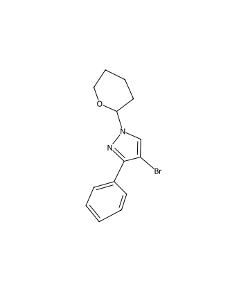 Brc1cn(C2CCCCO2)nc1-c1ccccc1